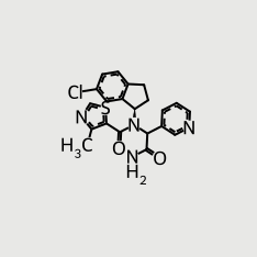 Cc1ncsc1C(=O)N(C(C(N)=O)c1cccnc1)[C@@H]1CCc2ccc(Cl)cc21